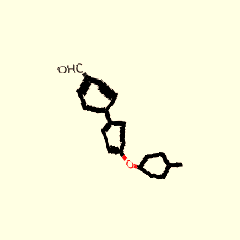 CC1CCC(Oc2ccc(-c3ccc(C=O)cc3)cc2)CC1